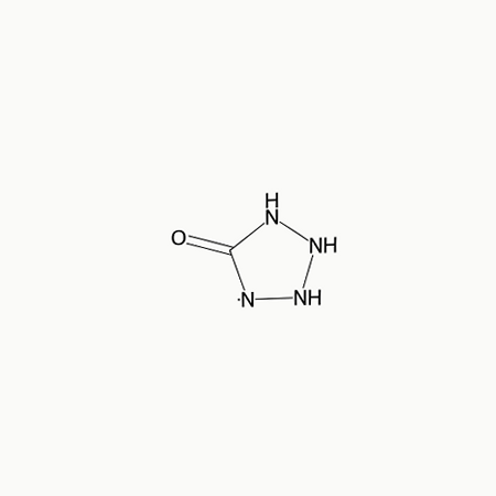 O=C1[N]NNN1